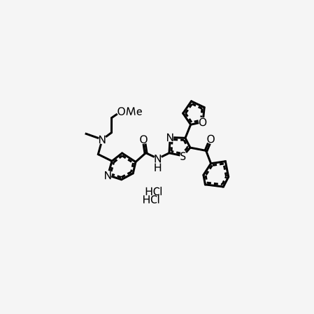 COCCN(C)Cc1cc(C(=O)Nc2nc(-c3ccco3)c(C(=O)c3ccccc3)s2)ccn1.Cl.Cl